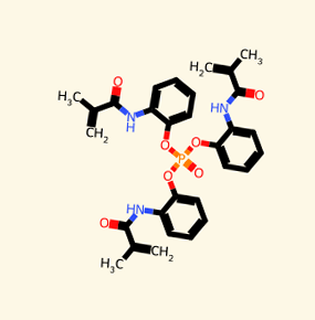 C=C(C)C(=O)Nc1ccccc1OP(=O)(Oc1ccccc1NC(=O)C(=C)C)Oc1ccccc1NC(=O)C(=C)C